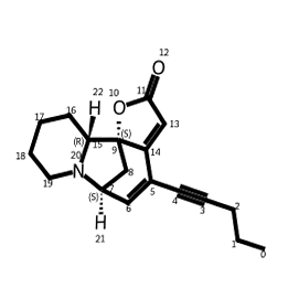 CCCC#CC1=C[C@@H]2C[C@@]3(OC(=O)C=C13)[C@H]1CCCCN21